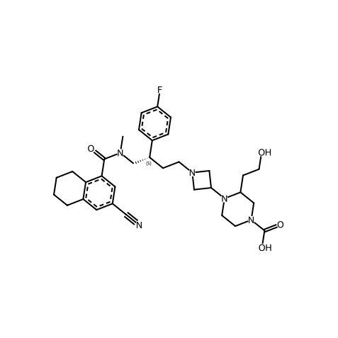 CN(C[C@@H](CCN1CC(N2CCN(C(=O)O)CC2CCO)C1)c1ccc(F)cc1)C(=O)c1cc(C#N)cc2c1CCCC2